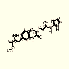 C=C(OCC)[C@@H](N)Cc1ccc2c(c1)NC(=O)[C@@H](CCC(=O)Nc1ncc[nH]1)O2